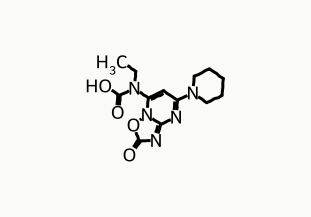 CCN(C(=O)O)c1cc(N2CCCCC2)nc2nc(=O)on12